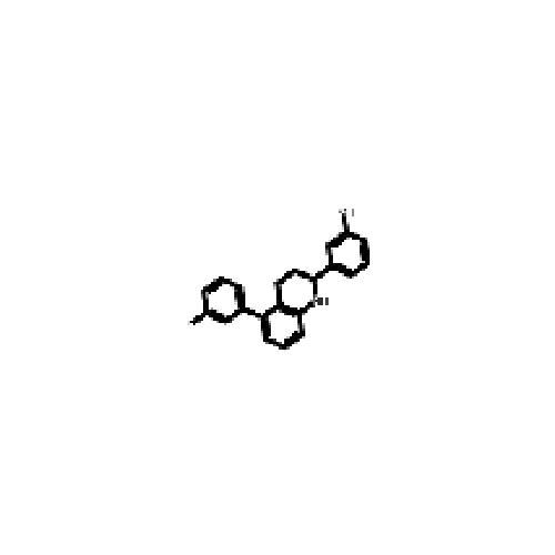 Oc1cccc(C2CCc3c(cccc3-c3cccc(F)c3)N2)c1